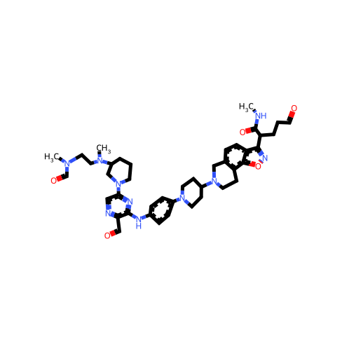 CNC(=O)C(CCC=O)c1noc2c3c(ccc12)CN(C1CCN(c2ccc(Nc4nc(N5CCCC(N(C)CCN(C)C=O)C5)cnc4C=O)cc2)CC1)CC3